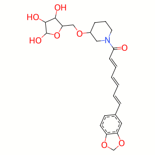 O=C(/C=C/C=C/C=C/c1ccc2c(c1)OCO2)N1CCCC(OCC2OC(O)C(O)C2O)C1